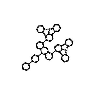 c1ccc(-c2ccc(-c3c4cccc(-c5ccc6c7ccccc7n7c8ccccc8c5c67)c4cc4c(-c5ccc6c7ccccc7n7c8ccccc8c5c67)cccc34)cc2)cc1